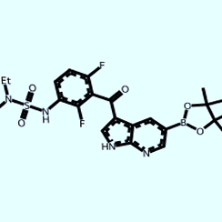 CCN(C)S(=O)(=O)Nc1ccc(F)c(C(=O)c2c[nH]c3ncc(B4OC(C)(C)C(C)(C)O4)cc23)c1F